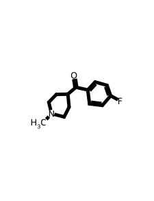 CN1CCC(C(=O)c2ccc(F)cc2)CC1